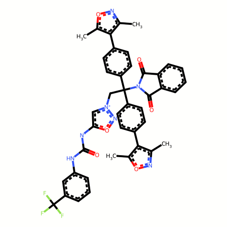 Cc1noc(C)c1-c1ccc(C(C[n+]2cc([N-]C(=O)Nc3cccc(C(F)(F)F)c3)on2)(c2ccc(-c3c(C)noc3C)cc2)N2C(=O)c3ccccc3C2=O)cc1